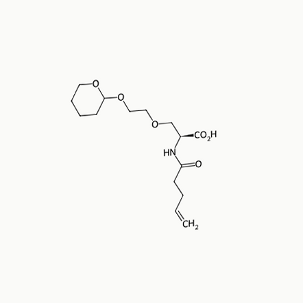 C=CCCC(=O)N[C@@H](COCCOC1CCCCO1)C(=O)O